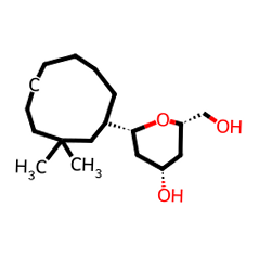 CC1(C)CCCCCCCC([C@H]2C[C@@H](O)C[C@@H](CO)O2)C1